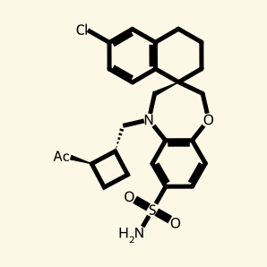 CC(=O)[C@@H]1CC[C@H]1CN1C[C@@]2(CCCc3cc(Cl)ccc32)COc2ccc(S(N)(=O)=O)cc21